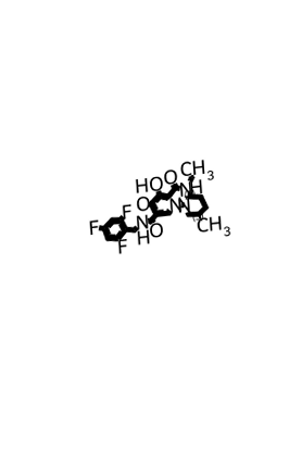 CCN1C(=O)c2c(O)c(=O)c(C(=O)NCc3c(F)cc(F)cc3F)cn2N2C[C@@H](C)CC[C@@H]12